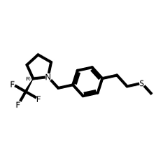 CSCCc1ccc(CN2CCC[C@@H]2C(F)(F)F)cc1